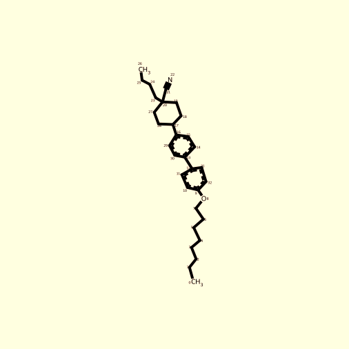 CCCCCCCCOc1ccc(-c2ccc(C3CCC(C#N)(CCCC)CC3)cc2)cc1